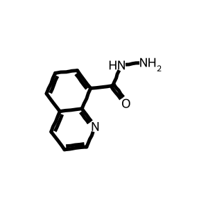 NNC(=O)c1cccc2cccnc12